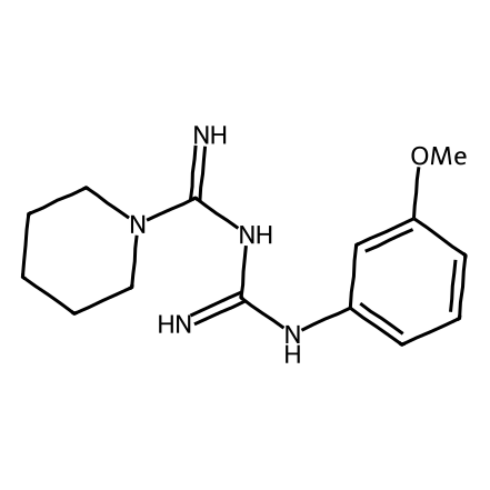 COc1cccc(NC(=N)NC(=N)N2CCCCC2)c1